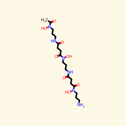 CC(=O)N(O)CCCNC(=O)CCC(=O)N(O)CCCNC(=O)CCC(=O)N(O)CCCN